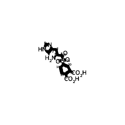 N[C@@H](Cc1c[nH]cn1)C(=O)S(=O)(=O)c1ccc(C(=O)O)c(C(=O)O)c1